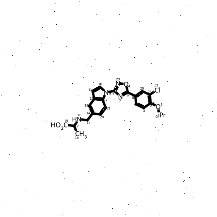 CC(C)Oc1ccc(-c2nc(-n3ccc4cc(CNC(C)C(=O)O)ccc43)no2)cc1Cl